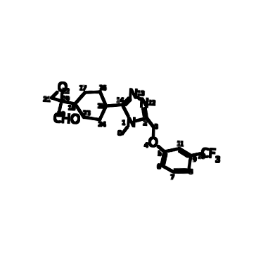 Cn1c(COc2cccc(C(F)(F)F)c2)nnc1C1CCC(C2(C=O)CO2)CC1